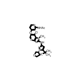 CC(=O)Nc1cc(Oc2cnc3nc(Nc4cc(C(C)(C)C#N)n([C@H]5CCOC5)n4)n(C)c3c2Cl)ccn1